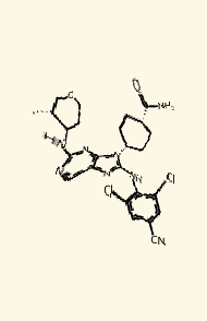 C[C@@H]1COCC[C@H]1Nc1ncc2nc(Nc3c(Cl)cc(C#N)cc3Cl)n([C@H]3CC[C@@H](C(N)=O)CC3)c2n1